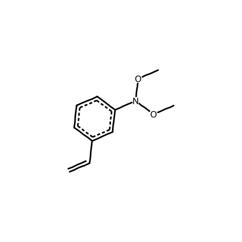 C=Cc1cccc(N(OC)OC)c1